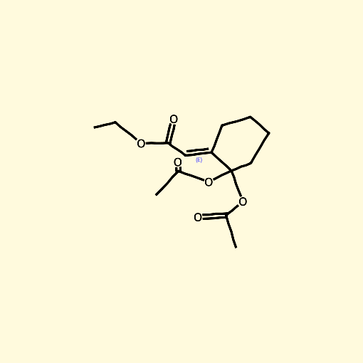 CCOC(=O)/C=C1\CCCCC1(OC(C)=O)OC(C)=O